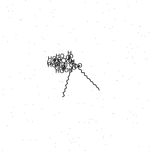 CCCCCCCCCCCCCCCC(=O)OCC(CO[PH](=O)OC1C(O)C(OOP(O)O)C(OOP(O)O)C(OOP(O)O)C1O)OC(=O)CCCCCCCCCCCCCCC